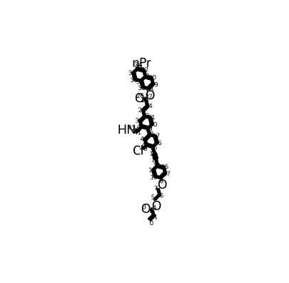 C=CC(=O)OCCCOc1ccc(C#Cc2ccc(-c3ccc(/C=C/C(=O)Oc4ccc5cc(CCC)ccc5c4)cc3C=N)cc2Cl)cc1